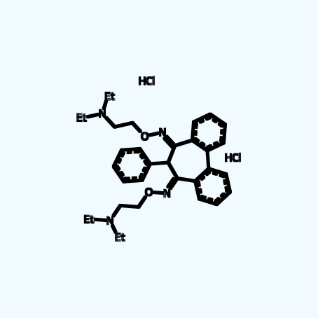 CCN(CC)CCON=C1c2ccccc2-c2ccccc2C(=NOCCN(CC)CC)C1c1ccccc1.Cl.Cl